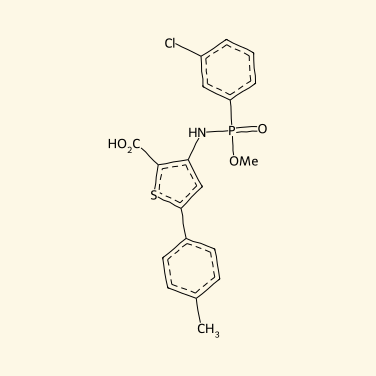 COP(=O)(Nc1cc(-c2ccc(C)cc2)sc1C(=O)O)c1cccc(Cl)c1